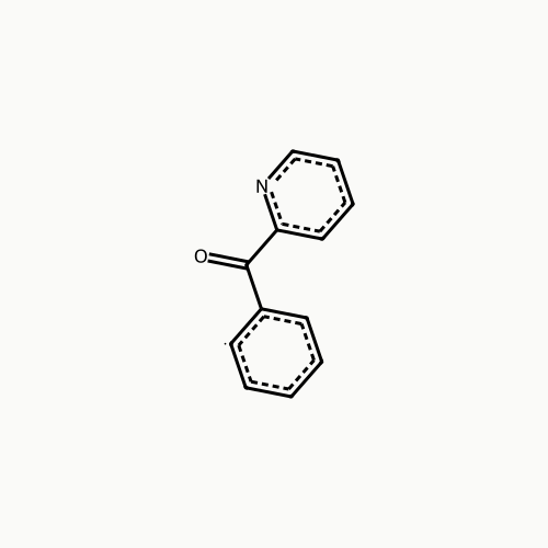 O=C(c1[c]cccc1)c1ccccn1